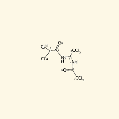 O=C(NC(NC(=O)C(Cl)(Cl)Cl)C(Cl)(Cl)Cl)C(Cl)Cl